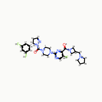 O=C(c1nc(N2CCN(C(=O)N3N=CC[C@H]3c3cc(F)cc(F)c3)CC2)ncc1F)N1CC(CN2CCCC2)C1